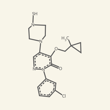 CC1(COc2c(N3CCN(S)CC3)cnn(-c3cccc(Cl)c3)c2=O)CC1